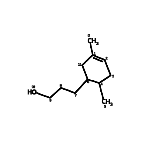 CC1=CCC(C)C(CCCO)C1